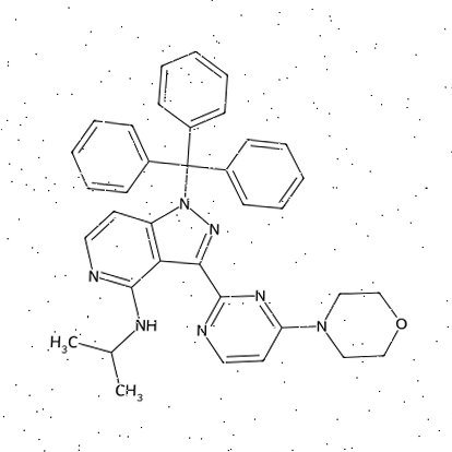 CC(C)Nc1nccc2c1c(-c1nccc(N3CCOCC3)n1)nn2C(c1ccccc1)(c1ccccc1)c1ccccc1